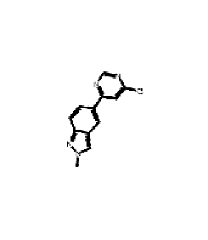 Cn1cc2cc(-c3cc(Cl)ncn3)ccc2n1